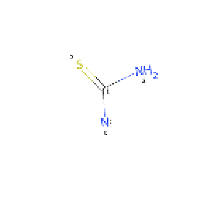 [N]C(N)=S